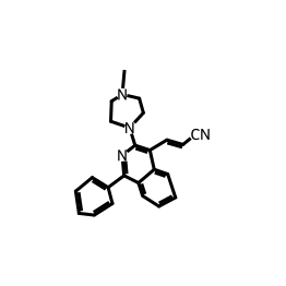 CN1CCN(c2nc(-c3ccccc3)c3ccccc3c2C=CC#N)CC1